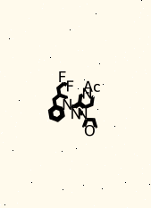 CC(=O)N1CCc2c(c(N3CC(CC(F)F)Cc4ccccc43)nn2C2CCOC2)C1